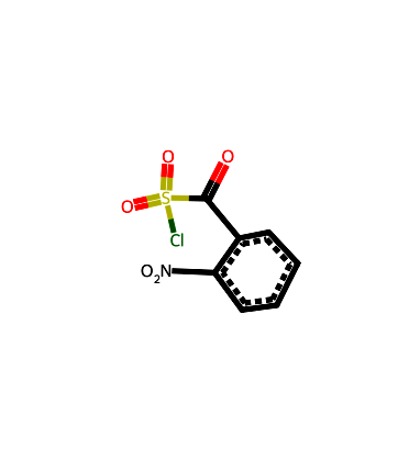 O=C(c1ccccc1[N+](=O)[O-])S(=O)(=O)Cl